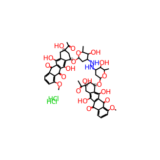 COc1cccc2c1C(=O)c1c(O)c3c(c(O)c1C2=O)C[C@@](O)(C(C)=O)C[C@@H]3OC1CC(NNC2CC(O[C@H]3C[C@](O)(C(C)=O)Cc4c(O)c5c(c(O)c43)C(=O)c3c(OC)cccc3C5=O)OC(C)C2O)C(O)C(C)O1.Cl.Cl